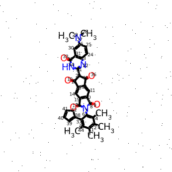 Cc1c(C)c(C)c(N2C(=O)c3cc4c(cc3C2=O)C(=O)C(c2nc3ccc(N(C)C)cc3c(=O)[nH]2)C4=O)c(C2=CC=CC2)c1C